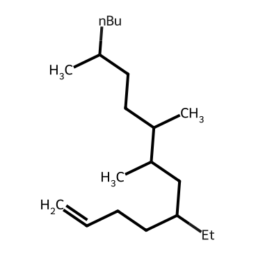 C=CCCC(CC)CC(C)C(C)CCC(C)CCCC